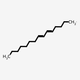 [CH2]CCC/C=C/C=C/CCCCCCC